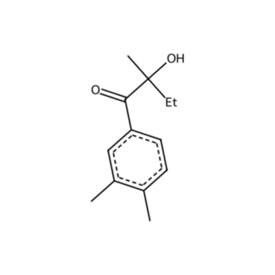 CCC(C)(O)C(=O)c1ccc(C)c(C)c1